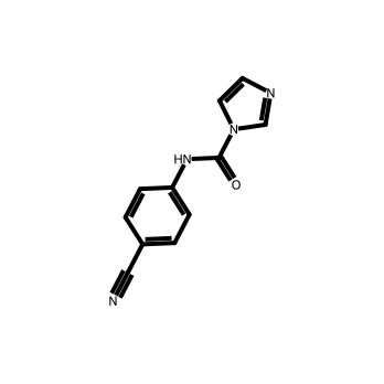 N#Cc1ccc(NC(=O)n2ccnc2)cc1